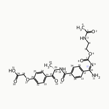 CC(=O)NCCOC(=O)/N=C(/N)c1ccc(C(=O)N[C@@H](C)C(=O)c2ccc(OCC(=O)O)cc2)cc1